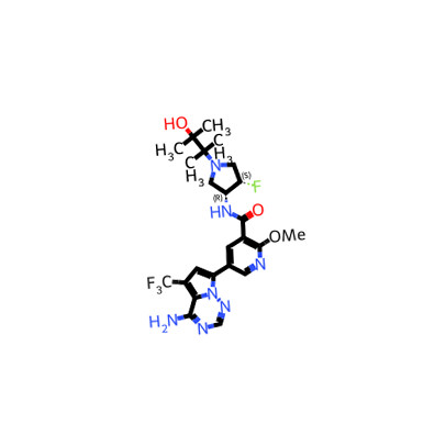 COc1ncc(-c2cc(C(F)(F)F)c3c(N)ncnn23)cc1C(=O)N[C@@H]1CN(C(C)(C)C(C)(C)O)C[C@@H]1F